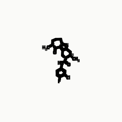 C[C@@H]1Cc2nn3c(c2CN1C(=O)Nc1ccc(F)c(Cl)c1)C(=O)N(C)CCC3